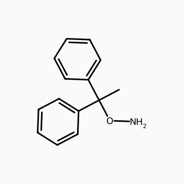 CC(ON)(c1ccccc1)c1ccccc1